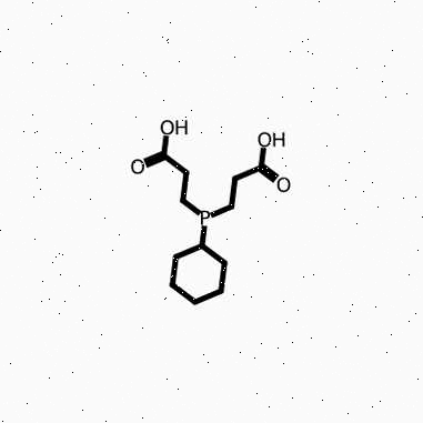 O=C(O)CCP(CCC(=O)O)C1CCCCC1